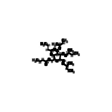 C=C(CC)OOC1OC(COC(=O)CCC)C(OC(=O)CCC)C(OOC(=C)CC)C1OOC(=C)CC